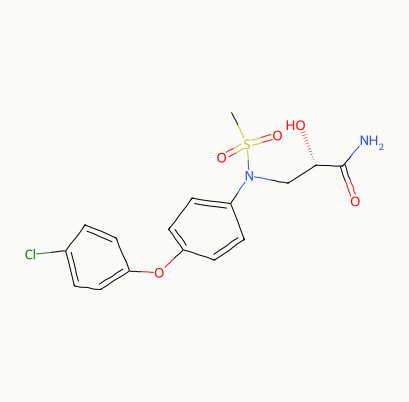 CS(=O)(=O)N(C[C@H](O)C(N)=O)c1ccc(Oc2ccc(Cl)cc2)cc1